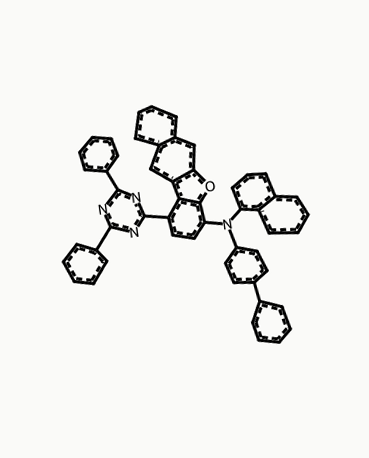 c1ccc(-c2ccc(N(c3cccc4ccccc34)c3ccc(-c4nc(-c5ccccc5)nc(-c5ccccc5)n4)c4c3oc3cc5ccccc5cc34)cc2)cc1